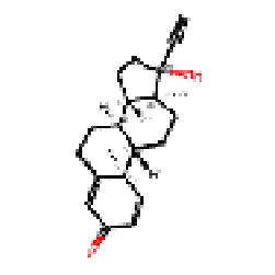 C#C[C@@]1(O)CC[C@H]2[C@@H]3CCC4=CC(=O)C=C[C@]4(C)[C@H]3CC[C@@]21C